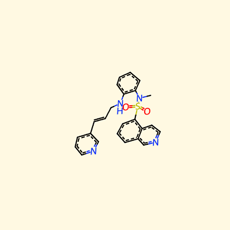 CN(c1ccccc1NCC=Cc1cccnc1)S(=O)(=O)c1cccc2cnccc12